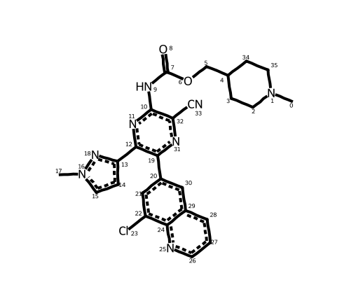 CN1CCC(COC(=O)Nc2nc(-c3ccn(C)n3)c(-c3cc(Cl)c4ncccc4c3)nc2C#N)CC1